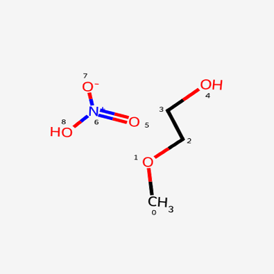 COCCO.O=[N+]([O-])O